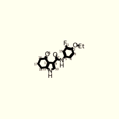 CCOc1ccc(NC(=O)c2c[nH]c3c2C(=O)CCC3)cc1F